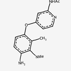 CNc1c(N)ccc(Oc2ccnc(NC(C)=O)c2)c1C